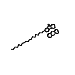 CCCCCCCCCCCCCCCCCCC.c1ccc2c(c1)sc1ccccc12.c1ccc2cc3ccccc3cc2c1